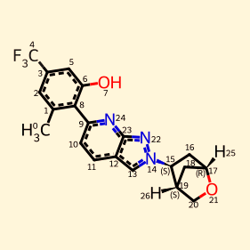 Cc1cc(C(F)(F)F)cc(O)c1-c1ccc2cn([C@H]3C[C@H]4C[C@@H]3CO4)nc2n1